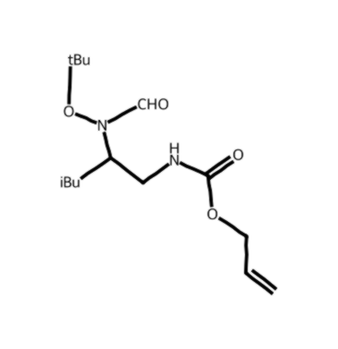 C=CCOC(=O)NCC(C(C)CC)N(C=O)OC(C)(C)C